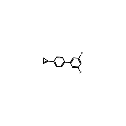 Fc1cc(F)cc(-c2ccc(C3=CC3)cc2)c1